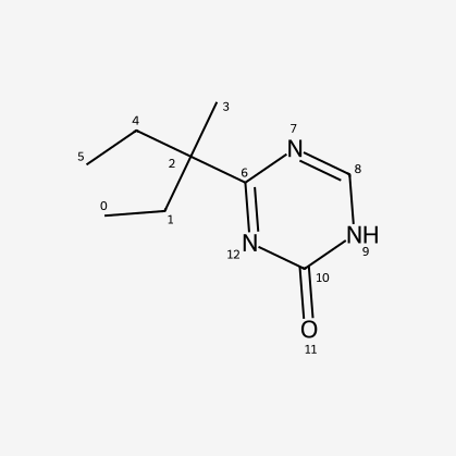 CCC(C)(CC)c1nc[nH]c(=O)n1